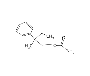 CCC(C)(CCCC(N)=O)c1ccccc1